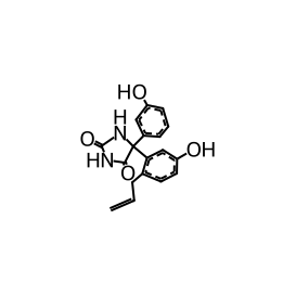 C=CCc1ccc(O)cc1C1(c2cccc(O)c2)NC(=O)NC1=O